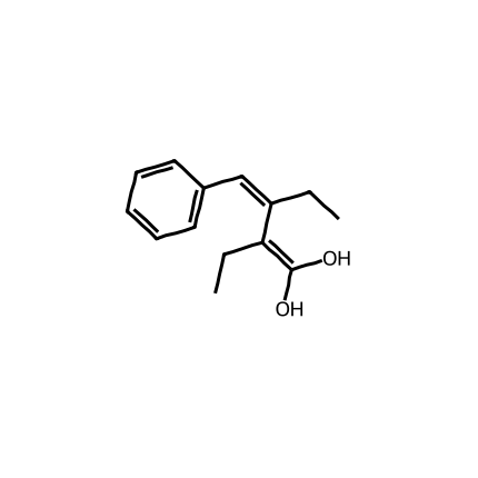 CCC(=Cc1ccccc1)C(CC)=C(O)O